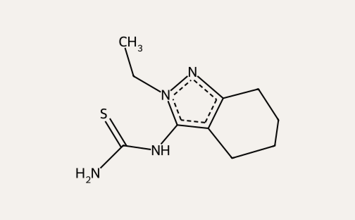 CCn1nc2c(c1NC(N)=S)CCCC2